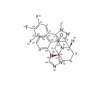 Cn1nc2c(c1-c1cc(F)c(F)c(F)c1)C[C@H]1CCC[C@@H]2N1C(=O)c1ccccc1-n1cnnc1